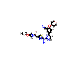 COC1CN(C(=O)Cc2csc(Nc3nccc(-c4ccc(OC5CCOCC5)c(C#N)c4)n3)n2)C1